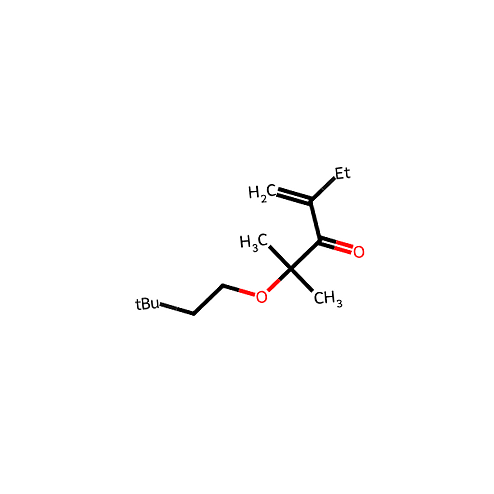 C=C(CC)C(=O)C(C)(C)OCCC(C)(C)C